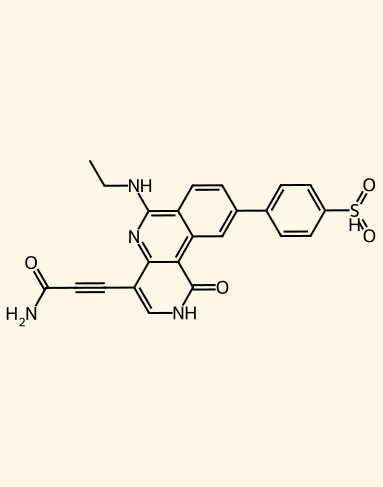 CCNc1nc2c(C#CC(N)=O)c[nH]c(=O)c2c2cc(-c3ccc([SH](=O)=O)cc3)ccc12